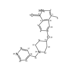 Cc1c[nH]c(=O)c2ccc(OC3CCN(Cc4ccncc4)CC3)cc12